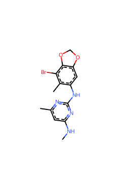 CNc1cc(C)nc(Nc2cc3c(c(Br)c2C)OCO3)n1